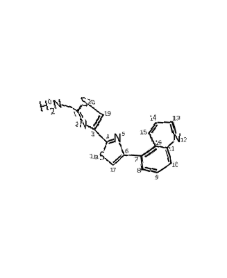 Nc1nc(-c2nc(-c3cccc4ncccc34)cs2)cs1